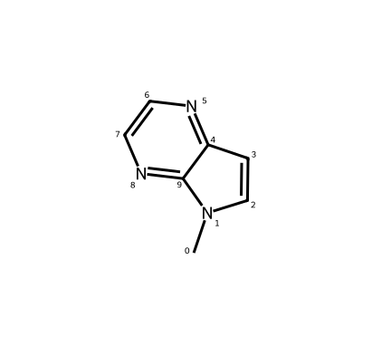 Cn1ccc2nccnc21